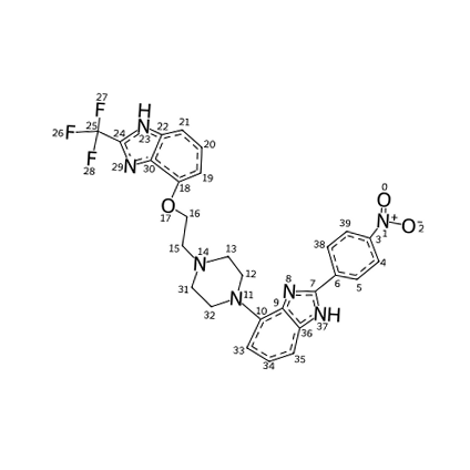 O=[N+]([O-])c1ccc(-c2nc3c(N4CCN(CCOc5cccc6[nH]c(C(F)(F)F)nc56)CC4)cccc3[nH]2)cc1